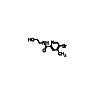 Cc1cc(C(=O)NCCO)ncc1Br